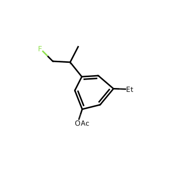 CCc1cc(OC(C)=O)cc([C](C)CF)c1